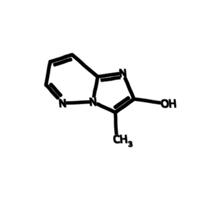 Cc1c(O)nc2cccnn12